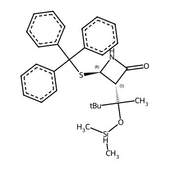 C[SiH](C)OC(C)([C@H]1C(=O)N[C@@H]1SC(c1ccccc1)(c1ccccc1)c1ccccc1)C(C)(C)C